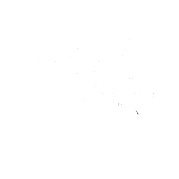 C[C@@H](NC(=O)NC(Cc1ccccc1)(c1cccc(OC(F)(F)F)c1)c1cccc(OC(F)(F)F)c1)C(=O)O